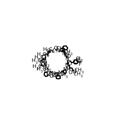 CC[C@H](C)[C@@H]1NC(=O)[C@H](CC(C)C)N(C)C(=O)C[C@@H](C(=O)N2CCCCC2)N(C)C(=O)C(C2CCCCC2)N(C)C(=O)C2(CCCC2)NC(=O)N(CCCC(=O)N(C)C)C(=O)[C@@H](CCc2ccc(C(F)(F)F)c(Cl)c2)NC(=O)CN(C)C(=O)[C@H](CC2CCCCC2)N(C)C(=O)CN(C)C(=O)CN(C)C1=O